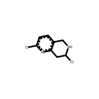 Clc1ccc2c(n1)CC(Cl)NC2